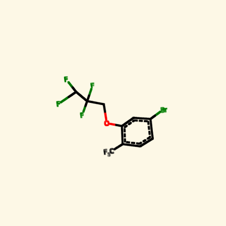 FC(F)C(F)(F)COc1cc(Br)ccc1C(F)(F)F